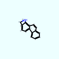 c1ccc2c(c1)ccc1c3c(ccc12)CN3